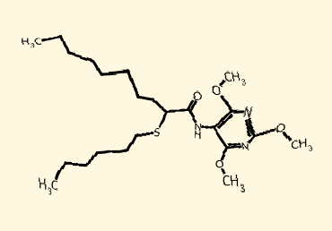 CCCCCCCCC(SCCCCCC)C(=O)Nc1c(OC)nc(OC)nc1OC